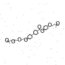 CC1(CCOc2ccc(OC(=O)c3ccc(-c4ccc(OCCOCCOCC5(C)CO5)cc4)cc3)cc2)CO1